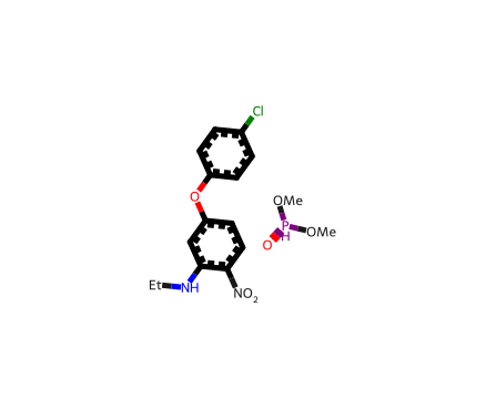 CCNc1cc(Oc2ccc(Cl)cc2)ccc1[N+](=O)[O-].CO[PH](=O)OC